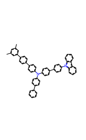 Cc1cc(C)cc(-c2ccc(-c3ccc(N(c4ccc(-c5ccccc5)cc4)c4ccc(-c5ccc(-n6c7ccccc7c7ccccc76)cc5)cc4)cc3)cc2)c1